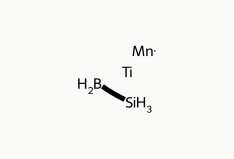 B[SiH3].[Mn].[Ti]